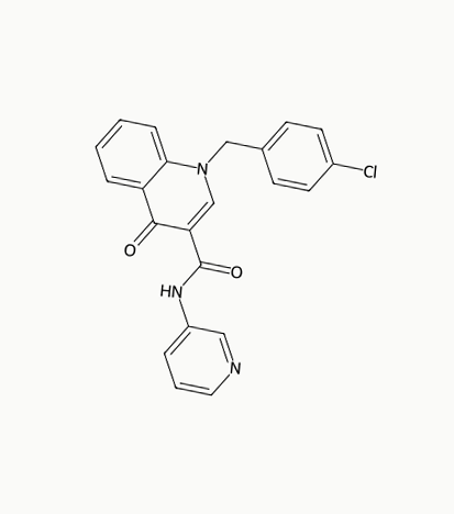 O=C(Nc1cccnc1)c1cn(Cc2ccc(Cl)cc2)c2ccccc2c1=O